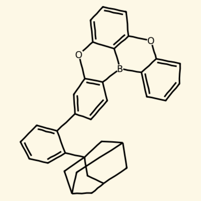 c1ccc2c(c1)Oc1cccc3c1B2c1ccc(-c2ccccc2C24CC5CC(CC(C5)C2)C4)cc1O3